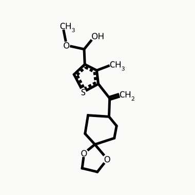 C=C(c1scc(C(O)OC)c1C)C1CCC2(CC1)OCCO2